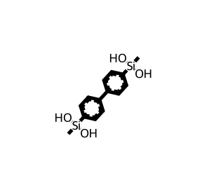 C[Si](O)(O)c1ccc(-c2ccc([Si](C)(O)O)cc2)cc1